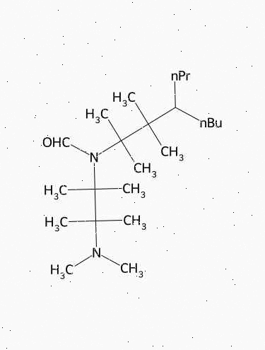 CCCCC(CCC)C(C)(C)C(C)(C)N(C=O)C(C)(C)C(C)(C)N(C)C